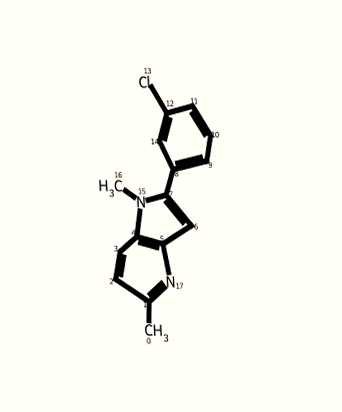 Cc1ccc2c(cc(-c3cccc(Cl)c3)n2C)n1